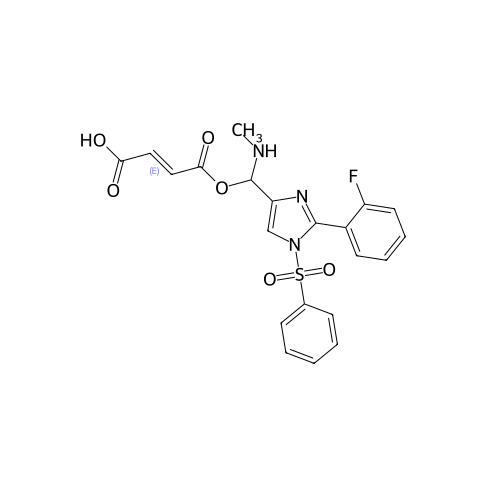 CNC(OC(=O)/C=C/C(=O)O)c1cn(S(=O)(=O)c2ccccc2)c(-c2ccccc2F)n1